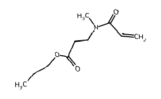 C=CC(=O)N(C)CCC(=O)OCCC